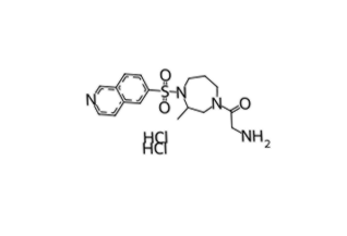 CC1CN(C(=O)CN)CCCN1S(=O)(=O)c1ccc2cnccc2c1.Cl.Cl